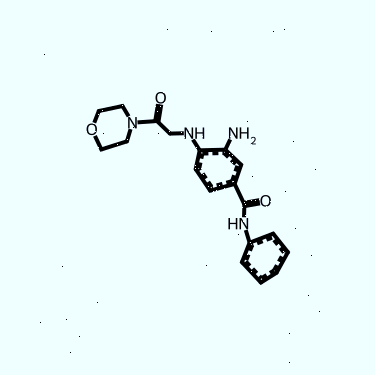 Nc1cc(C(=O)Nc2ccccc2)ccc1NCC(=O)N1CCOCC1